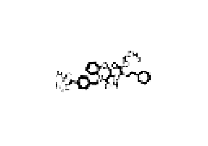 CCOC(=O)[C@@H](CCC1CCCCC1)NC1COc2ccccc2N(Cc2ccc(C(C)C)cc2)C1=O